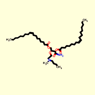 CCCCCCCC/C=C\CCCCCCCC(=O)OCC(OCCN(C)CCCC)C(OC(=O)CCCCCCC/C=C\CCCCCCCC)C(N)=O